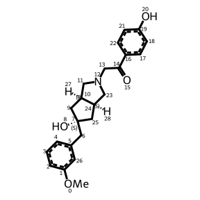 COc1cccc(C[C@@]2(O)C[C@H]3CN(CC(=O)c4ccc(O)cc4)C[C@H]3C2)c1